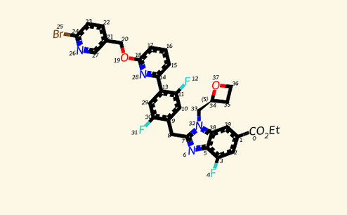 CCOC(=O)c1cc(F)c2nc(Cc3cc(F)c(-c4cccc(OCc5ccc(Br)nc5)n4)cc3F)n(C[C@@H]3CCO3)c2c1